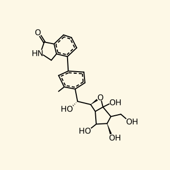 Cc1cc(-c2cccc3c2CNC3=O)ccc1[C@@H](O)[C@H]1OC2(O)C(CO)[C@@H](O)C(O)C12